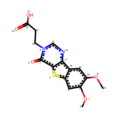 COc1cc2sc3c(=O)n(CCC(=O)O)cnc3c2cc1OC